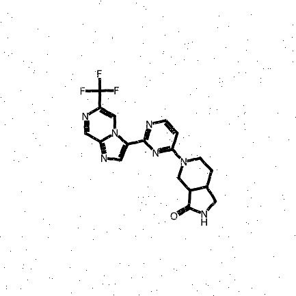 O=C1NCC2CCN(c3ccnc(-c4cnc5cnc(C(F)(F)F)cn45)n3)CC12